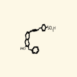 O=S(=O)(O)c1ccc(CC#Cc2ccc3cc(O)c(Cc4ccccc4)cc3c2)cc1